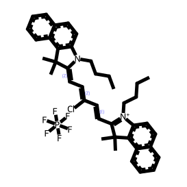 CCCCN1\C(=C/C=C(Cl)/C=C/C2=[N+](CCCC)c3ccc4ccccc4c3C2(C)C)C(C)(C)c2c1ccc1ccccc21.F[P-](F)(F)(F)(F)F